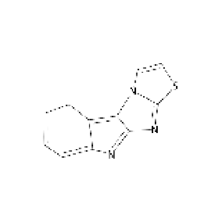 C1=CCC2=c3c(nc4sccn34)=NC2=C1